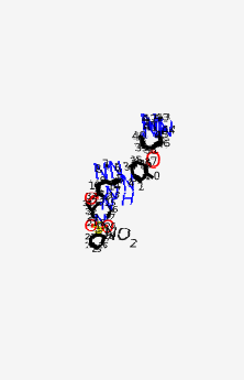 Cc1cc(Nc2ncnc3cc4c(nc23)N2CCN(S(=O)(=O)c3ccccc3[N+](=O)[O-])CC(CO4)C2)ccc1Oc1ccn2ncnc2c1